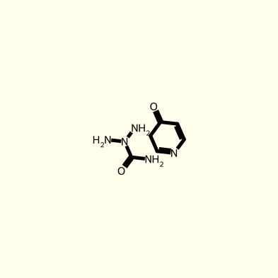 NC(=O)N(N)N.O=C1C=CN=CC1